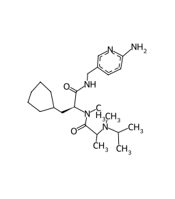 CC(C)N(C)C(C)C(=O)N(C)[C@@H](CC1CCCCC1)C(=O)NCc1ccc(N)nc1